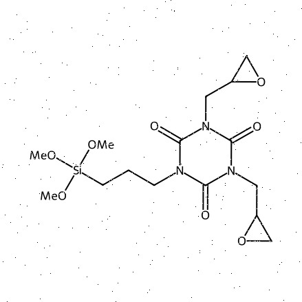 CO[Si](CCCn1c(=O)n(CC2CO2)c(=O)n(CC2CO2)c1=O)(OC)OC